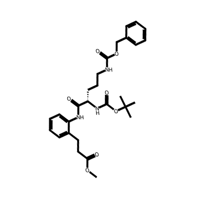 COC(=O)CCc1ccccc1NC(=O)[C@H](CCCNC(=O)OCc1ccccc1)NC(=O)OC(C)(C)C